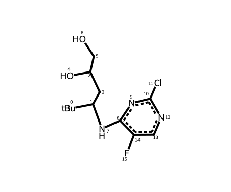 CC(C)(C)C(CC(O)CO)Nc1nc(Cl)ncc1F